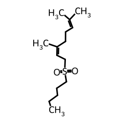 CCCCCS(=O)(=O)CC=C(C)CCC=C(C)C